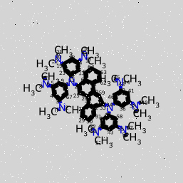 CN(C)c1cc(N(C)C)cc(N(c2cc(N(C)C)cc(N(C)C)c2)c2cc3c4ccccc4c(N(c4cc(N(C)C)cc(N(C)C)c4)c4cc(N(C)C)cc(N(C)C)c4)cc3c3ccccc23)c1